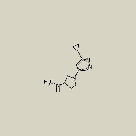 CN[C@@H]1CCN(c2cnnc(C3CC3)c2)C1